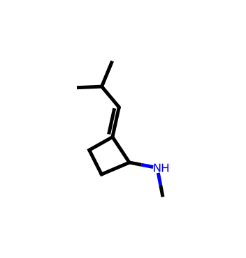 CNC1CC/C1=C\C(C)C